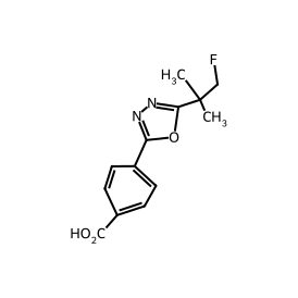 CC(C)(CF)c1nnc(-c2ccc(C(=O)O)cc2)o1